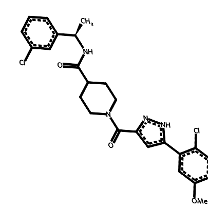 COc1cc(-c2cc(C(=O)N3CCC(C(=O)N[C@H](C)c4cccc(Cl)c4)CC3)n[nH]2)c(Cl)cn1